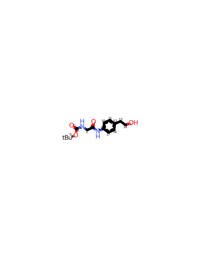 CC(C)(C)OC(=O)NCC(=O)Nc1ccc(CCO)cc1